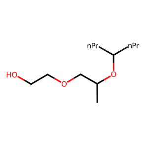 CCCC(CCC)OC(C)COCCO